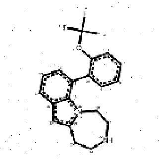 FC(F)(F)Oc1ccccc1-c1cccc2cc3n(c12)CCNCC3